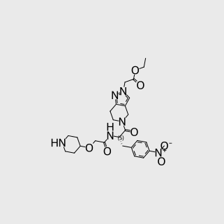 CCOC(=O)Cn1cc2c(n1)CCN(C(=O)[C@H](Cc1ccc([N+](=O)[O-])cc1)NC(=O)COC1CCNCC1)C2